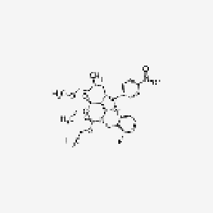 CCOC(=O)c1c(N(Cc2c(F)cccc2F)C(=O)OCC)sc(-c2ccc([N+](=O)[O-])cc2)c1CN(C)CCOC